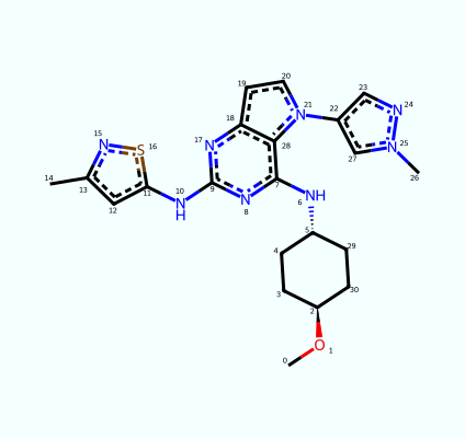 CO[C@H]1CC[C@H](Nc2nc(Nc3cc(C)ns3)nc3ccn(-c4cnn(C)c4)c23)CC1